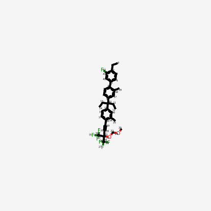 CCc1ccc(-c2ccc(C(CC)(CC)c3ccc(C#CC(OCOC)(C(F)(F)F)C(F)(F)F)c(C)c3)cc2C)cc1F